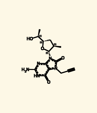 C#CCn1c(=O)n([C@@H]2O[C@H]([C@H](C)O)C[C@H]2C)c2nc(N)[nH]c(=O)c21